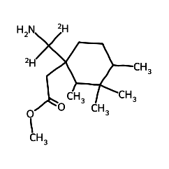 [2H]C([2H])(N)C1(CC(=O)OC)CCC(C)C(C)(C)C1C